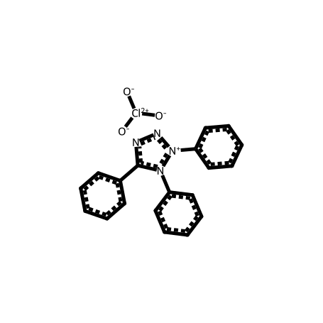 [O-][Cl+2]([O-])[O-].c1ccc(-c2nn[n+](-c3ccccc3)n2-c2ccccc2)cc1